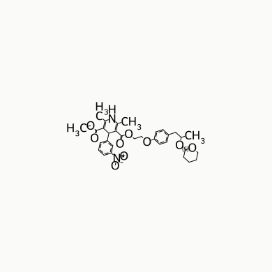 COC(=O)C1=C(C)NC(C)=C(C(=O)OCCOc2ccc(CC(C)O[C@H]3CCCCO3)cc2)C1c1cccc([N+](=O)[O-])c1